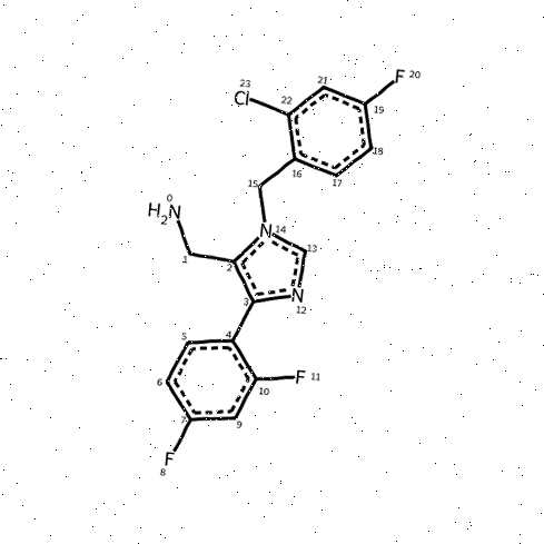 NCc1c(-c2ccc(F)cc2F)ncn1Cc1ccc(F)cc1Cl